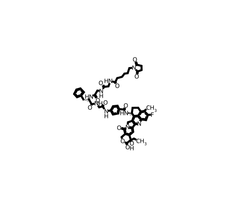 CC[C@@]1(O)C(=O)OCc2c1cc1n(c2=O)Cc2c-1nc1cc(F)c(C)c3c1c2[C@@H](NC(=O)c1ccc(NC(=O)CNC(=O)[C@H](Cc2ccccc2)NC(=O)CNC(=O)CNC(=O)CCCCCN2C(=O)CCC2=O)cc1)CC3